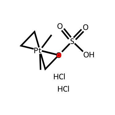 Cl.Cl.[CH3][Pt]12([CH3])([O]S(=O)(=O)O)([CH2][CH2]1)[CH2][CH2]2